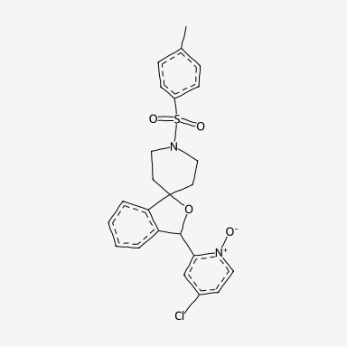 Cc1ccc(S(=O)(=O)N2CCC3(CC2)OC(c2cc(Cl)cc[n+]2[O-])c2ccccc23)cc1